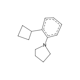 c1ccc(N2CCCC2)c(C2CCC2)c1